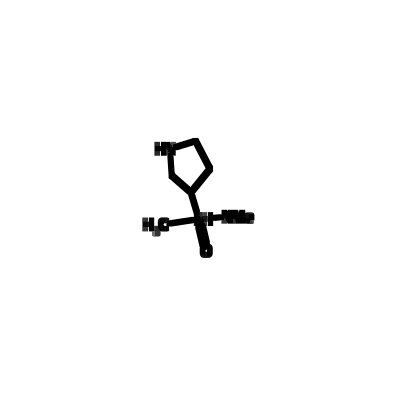 CN[SH](C)(=O)C1CCNC1